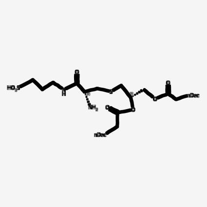 CCCCCCCCCCCC(=O)OC[C@@H](CSC[C@H](N)C(=O)NCCCS(=O)(=O)O)OC(=O)CCCCCCCCCCC